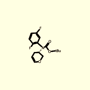 CC(C)(C)OC(=O)N(c1cc(F)ccc1F)[C@H]1CC=COC1